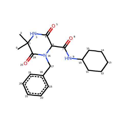 CC1(C)NC(=O)C(C(=O)NC2CCCCC2)N(Cc2ccccc2)C1=O